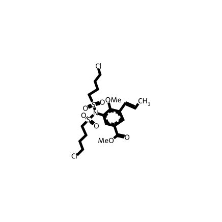 C/C=C/c1cc(C(=O)OC)cc(N(S(=O)(=O)CCCCCl)S(=O)(=O)CCCCCl)c1OC